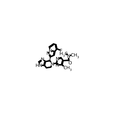 Cc1nc(N2CCc3[nH]cnc3[C@H]2c2cc3c(F)cccn3n2)ncc1C(=O)N(C)C